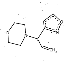 C=CC(c1ccon1)N1CCNCC1